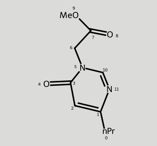 CCCc1cc(=O)n(CC(=O)OC)cn1